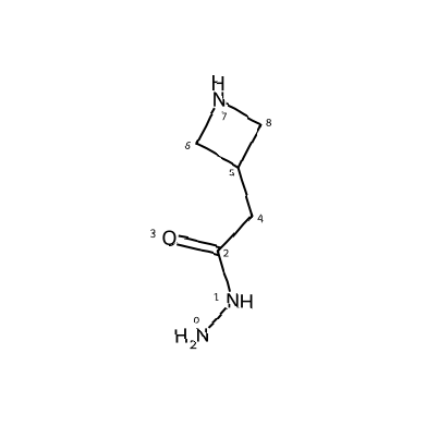 NNC(=O)CC1CNC1